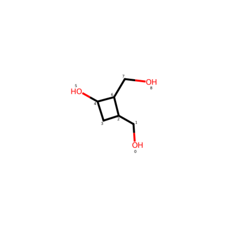 OCC1CC(O)C1CO